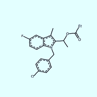 CCC(=O)OC(C)c1c(C)c2cc(F)ccc2n1Cc1ccc(Cl)cc1